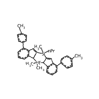 CCC[Si]1(C)C2=Cc3c(-c4ccc(C)cc4)cccc3[CH]2[Hf]([CH3])([CH3])[CH]2C1=Cc1c(-c3ccc(C)cc3)cccc12